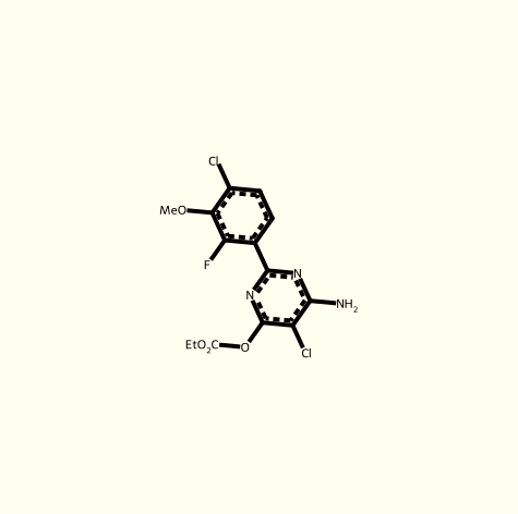 CCOC(=O)Oc1nc(-c2ccc(Cl)c(OC)c2F)nc(N)c1Cl